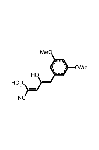 COc1cc(C=C(O)C=C(C#N)C(=O)O)cc(OC)c1